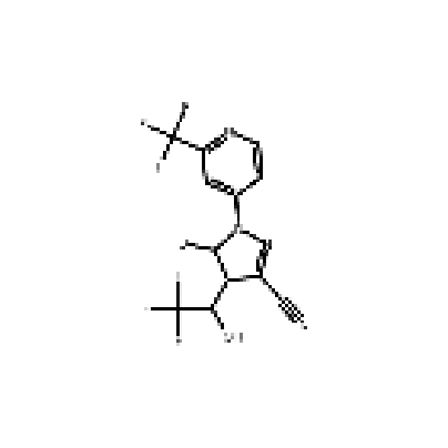 N#CC1=NN(c2ccnc(C(F)(F)F)c2)C(O)C1C(O)C(F)(F)F